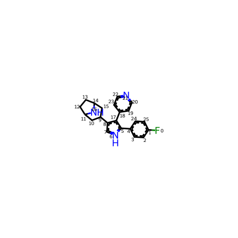 Fc1ccc(-c2[nH]cc(C3CC4CCC(C3)N4)c2-c2ccncc2)cc1